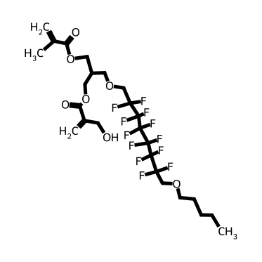 C=C(C)C(=O)OCC(COCC(F)(F)C(F)(F)C(F)(F)C(F)(F)C(F)(F)C(F)(F)COCCCCC)COC(=O)C(=C)CO